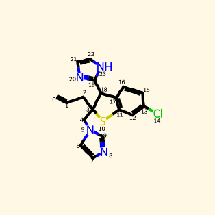 C=CCC1(Cn2ccnc2)Sc2cc(Cl)ccc2C1c1ncc[nH]1